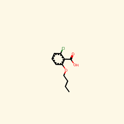 CCCCOc1cccc(Cl)c1C(=O)O